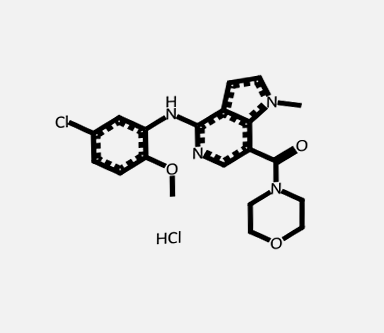 COc1ccc(Cl)cc1Nc1ncc(C(=O)N2CCOCC2)c2c1ccn2C.Cl